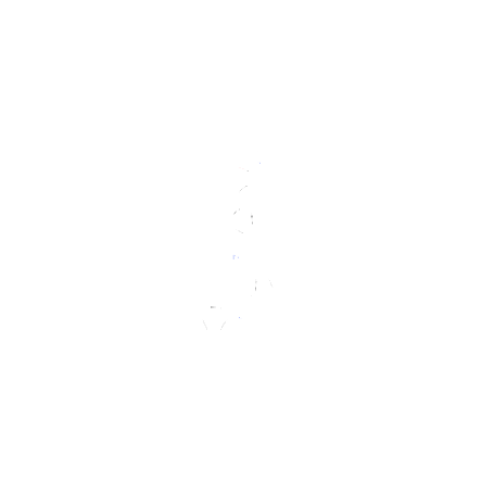 O=C(/C=C/c1ccc(CNCCC2c3ccccc3NC2c2ccco2)cc1)NO